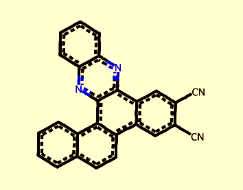 N#Cc1cc2c(cc1C#N)c1nc3ccccc3nc1c1c3ccccc3ccc21